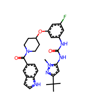 Cn1nc(C(C)(C)C)cc1NC(=O)Nc1cc(F)cc(OC2CCN(C(=O)c3ccc4[nH]ccc4c3)CC2)c1